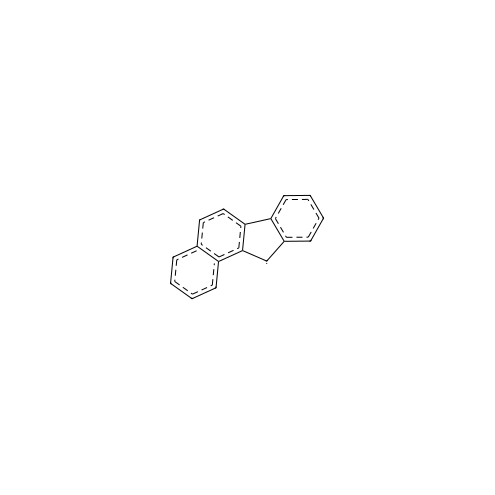 [CH]1c2ccccc2-c2ccc3ccccc3c21